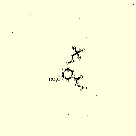 [2H]C([2H])([2H])COC[C@@H]1CN(C(=O)OC(C)(C)C)C[C@H](C(=O)O)O1